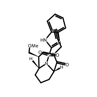 C#CCN1C[C@H](COC)[C@H]2CCC[C@@H](C1=O)N2S(=O)(=O)c1nc2ccccc2[nH]1